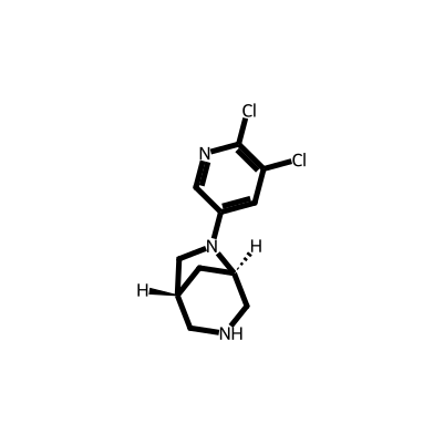 Clc1cc(N2C[C@H]3CNC[C@H]2C3)cnc1Cl